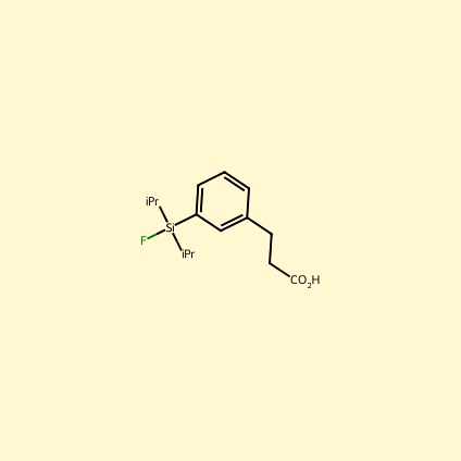 CC(C)[Si](F)(c1cccc(CCC(=O)O)c1)C(C)C